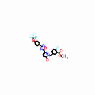 COC(=O)c1cc(Cn2nc(-c3nc(-c4ccc(OC(F)(F)F)cc4)no3)ccc2=O)ccc1F